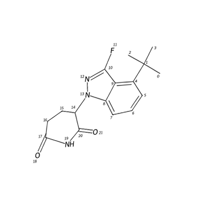 CC(C)(C)c1cccc2c1c(F)nn2C1CCC(=O)NC1=O